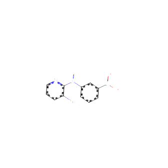 Cl.Nc1cccnc1N(C=O)c1cccc(B(O)O)c1